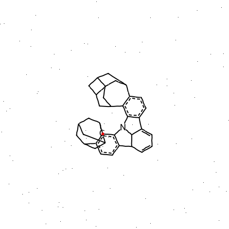 C1=CC2c3ccc4c(c3N3c5c(ccc6c5C5CC7CC8CC6CC87C5)C(=C1)C23)C1CC2CC(CC4C2)C1